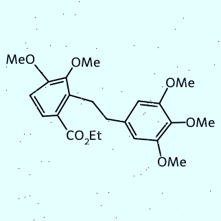 CCOC(=O)c1ccc(OC)c(OC)c1CCc1cc(OC)c(OC)c(OC)c1